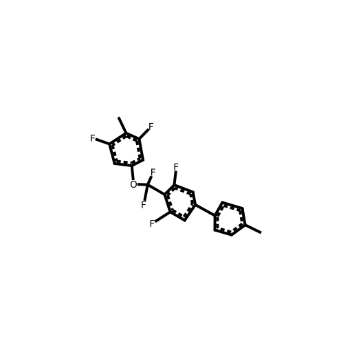 Cc1ccc(-c2cc(F)c(C(F)(F)Oc3cc(F)c(C)c(F)c3)c(F)c2)cc1